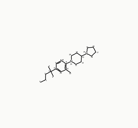 CCCC(C)(C)c1cnc(N2CCC(N3CCCC3)CC2)c(C)c1